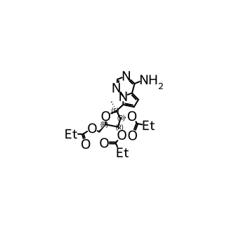 CCC(=O)OC[C@H]1O[C@@](C)(c2ccc3c(N)ncnn23)[C@H](OC(=O)CC)[C@@H]1OC(=O)CC